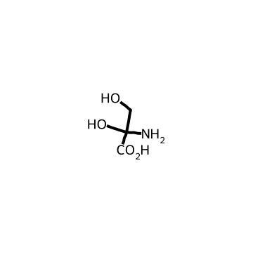 NC(O)(CO)C(=O)O